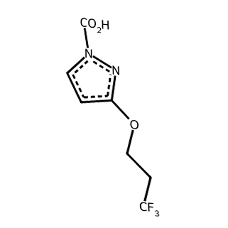 O=C(O)n1ccc(OCCC(F)(F)F)n1